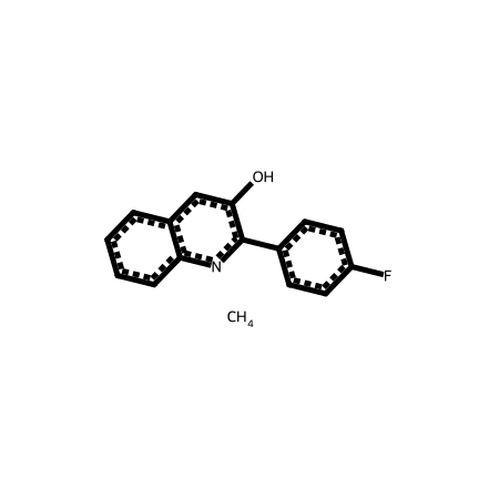 C.Oc1cc2ccccc2nc1-c1ccc(F)cc1